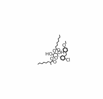 CCCCCCCC(=O)O[C@@H]1[C@@H](O)[C@H](c2ccc(Cl)c(Cc3ccc(OCC)cc3)c2)O[C@H](OC(=O)C(C)CCCCCC)[C@@H]1O